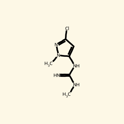 CNC(=N)Nc1cc(Cl)nn1C